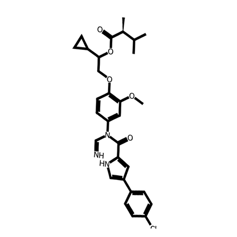 COc1cc(N(C=N)C(=O)c2cc(-c3ccc(Cl)cc3)c[nH]2)ccc1OCC(OC(=O)[C@@H](C)C(C)C)C1CC1